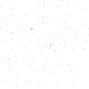 CS(=O)(=O)N[C@H](CCC1CCNCC1)C(=O)N1CC[C@H](c2ccccc2)[C@H]1C(=O)N[C@@H](CC1CCCCC1)C(=O)c1nc2ccccc2o1